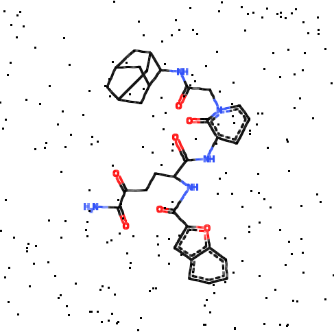 NC(=O)C(=O)CCC(NC(=O)c1cc2ccccc2o1)C(=O)Nc1cccn(CC(=O)NC2C3CC4CC(C3)CC2C4)c1=O